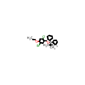 C=CCOc1cc(Cl)c(CO[Si](c2ccccc2)(c2ccccc2)C(C)(C)C)cc1Br